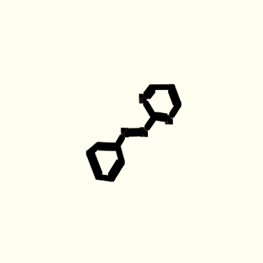 c1ccc(N=Nc2ncccn2)cc1